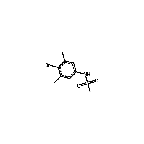 Cc1cc(NS(C)(=O)=O)cc(C)c1Br